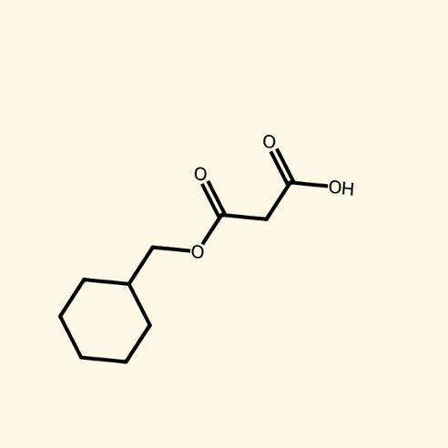 O=C(O)CC(=O)OCC1CCCCC1